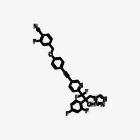 N#Cc1ccc(COc2ccc(C#Cc3ccc(C(F)(F)C(O)(Cn4cnnn4)c4ccc(F)cc4F)nc3)cc2)cc1F